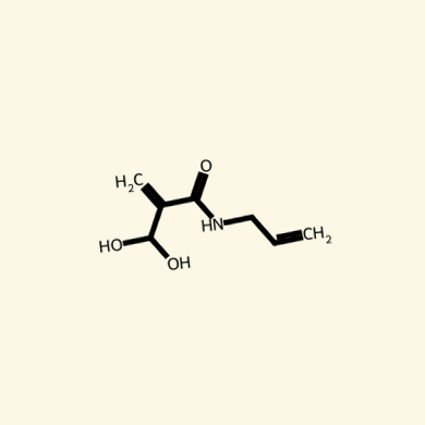 C=CCNC(=O)C(=C)C(O)O